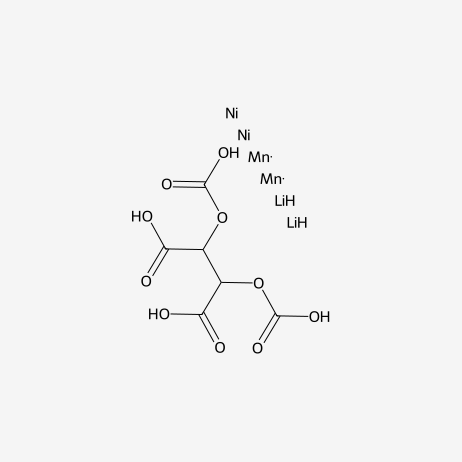 O=C(O)OC(C(=O)O)C(OC(=O)O)C(=O)O.[LiH].[LiH].[Mn].[Mn].[Ni].[Ni]